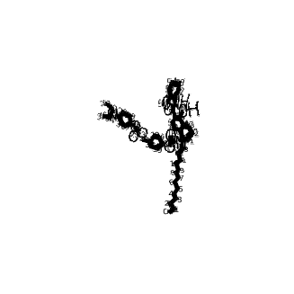 CCCCCCCCCCCCCCN(C(=O)Oc1ccc(COC(=O)Oc2ccc(N(CC)CC)cc2)cc1)c1cccc2c(O)c(C(=O)Nc3ccccc3OC)ccc12